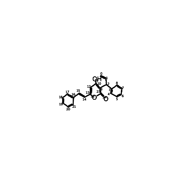 C=CC(c1ccccc1)c1c(O)cc(C=Cc2ccccc2)oc1=O